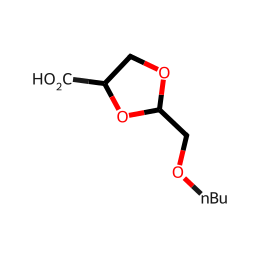 CCCCOCC1OCC(C(=O)O)O1